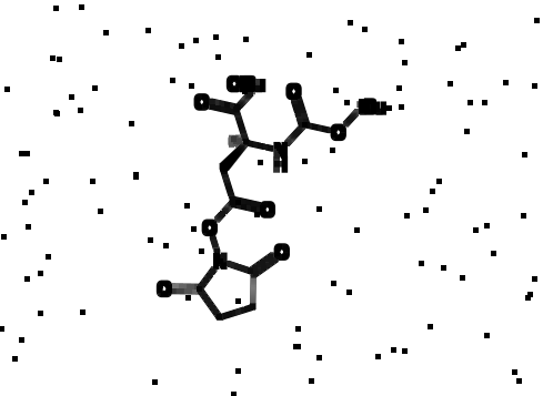 CC(C)COC(=O)[C@H](CC(=O)ON1C(=O)CCC1=O)NC(=O)OC(C)(C)C